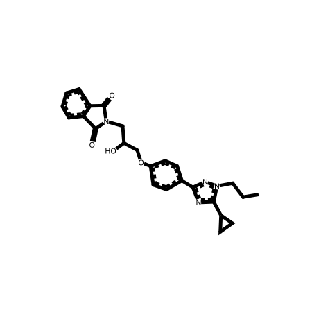 CCCn1nc(-c2ccc(OCC(O)CN3C(=O)c4ccccc4C3=O)cc2)nc1C1CC1